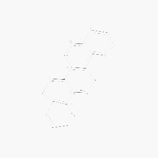 C1=Cc2ccc3c(ncc4c5ccccc5ccc34)c2NC1